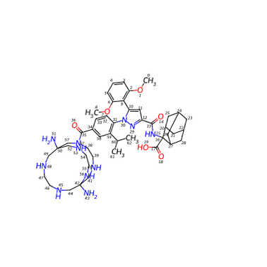 COc1cccc(OC)c1-c1cc(C(=O)NC2(C(=O)O)C3CC4CC(C3)CC2C4)nn1-c1ccc(C(=O)N2CCNCC3(N)CNCCNCC(N)(CNCCN3)C2)cc1C(C)C